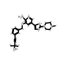 CN1CCN(c2ncc(-c3cnc(N)c(OCc4cccc(C#CC(C)(C)O)c4)c3)s2)CC1